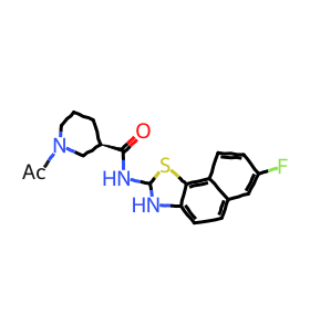 CC(=O)N1CCC[C@@H](C(=O)NC2Nc3ccc4cc(F)ccc4c3S2)C1